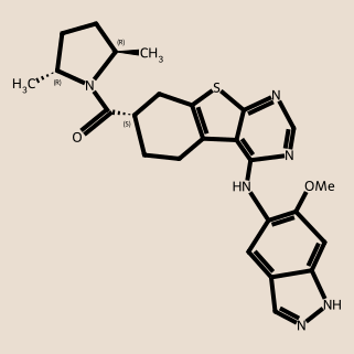 COc1cc2[nH]ncc2cc1Nc1ncnc2sc3c(c12)CC[C@H](C(=O)N1[C@H](C)CC[C@H]1C)C3